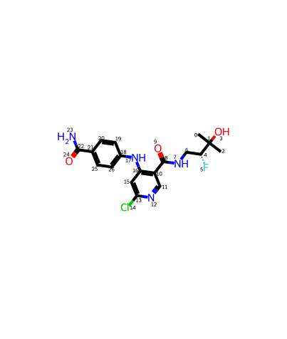 CC(C)(O)[C@H](F)CNC(=O)c1cnc(Cl)cc1Nc1ccc(C(N)=O)cc1